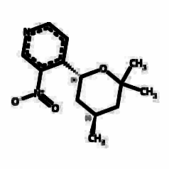 C[C@H]1C[C@H](c2ccncc2[N+](=O)[O-])OC(C)(C)C1